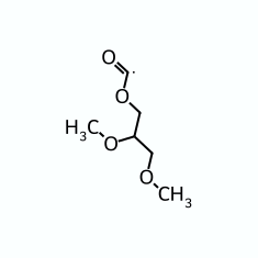 COCC(CO[C]=O)OC